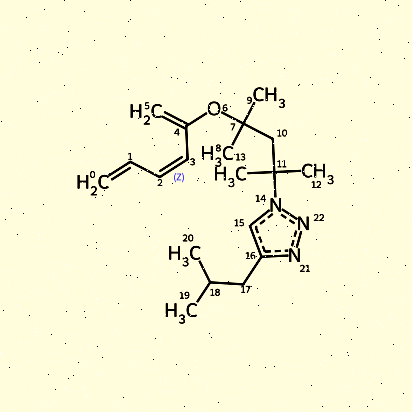 C=C/C=C\C(=C)OC(C)(C)CC(C)(C)n1cc(CC(C)C)nn1